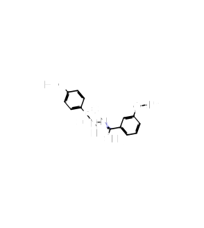 C/C(=N\NS(=O)(=O)c1ccc(C)cc1)c1cccc(OC(C)C)c1